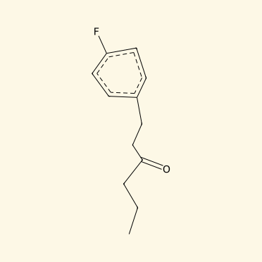 CCCC(=O)CCc1ccc(F)cc1